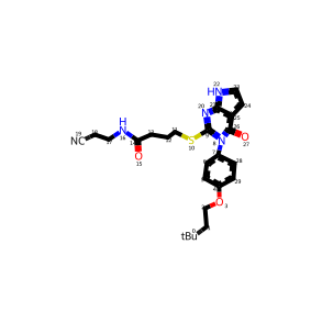 CC(C)(C)CCOc1ccc(-n2c(SCCCC(=O)NCCC#N)nc3[nH]ccc3c2=O)cc1